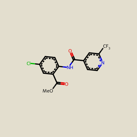 COC(=O)c1cc(Cl)ccc1NC(=O)c1ccnc(C(F)(F)F)c1